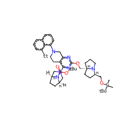 CCc1cccc2cccc(N3CCc4c(nc(OC[C@]56CCCN5[C@@H](CO[Si](C)(C)C(C)(C)C)CC6)nc4N4C[C@H]5CC[C@@H](C4)N5C(=O)OC(C)(C)C)C3)c12